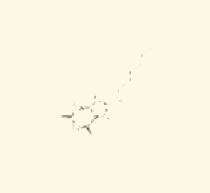 CCCCCCN(C)c1nc2c(c(=O)n(C)c(=O)n2C)n1C